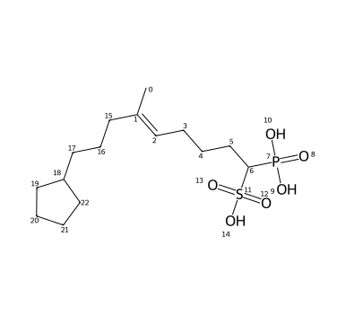 CC(=CCCCC(P(=O)(O)O)S(=O)(=O)O)CCCC1CCCC1